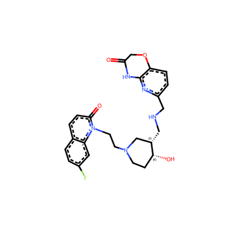 O=C1COc2ccc(CNC[C@H]3CN(CCn4c(=O)ccc5ccc(F)cc54)CC[C@H]3O)nc2N1